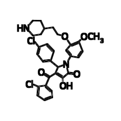 COc1ccc(N2C(=O)C(O)=C(C(=O)c3ccccc3Cl)C2c2ccc(Cl)cc2)cc1OCCC1CCNCC1